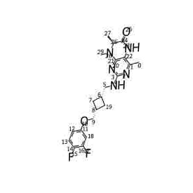 Cc1nc(NC[C@H]2C[C@@H](COc3ccc(F)c(F)c3)C2)nc2c1NC(=O)[C@H](C)N2C